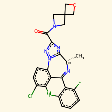 C[C@@H]1N=C(c2c(F)cccc2F)c2c(ccc(Cl)c2Cl)-n2nc(C(=O)N3CC4(COC4)C3)nc21